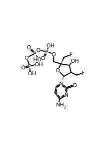 Nc1ccn([C@@H]2O[C@](CF)(COP(=O)(O)OP(=O)(O)OP(=O)(O)O)[C@@H](O)C2CF)c(=O)n1